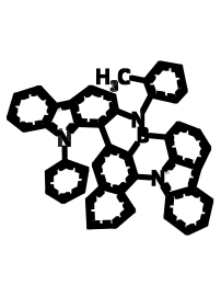 Cc1ccccc1N1B2c3c(cc4ccccc4c3-n3c4ccccc4c4cccc2c43)-c2c1ccc1c3ccccc3n(-c3ccccc3)c21